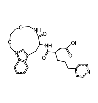 O=C(O)C[C@@H](CCCc1ccncc1)C(=O)NC1Cc2cn(c3ccccc23)CCCCCCNC1=O